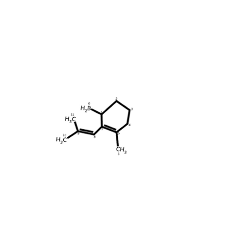 BC1CCCC(C)=C1C=C(C)C